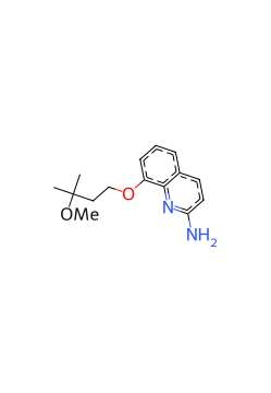 COC(C)(C)CCOc1cccc2ccc(N)nc12